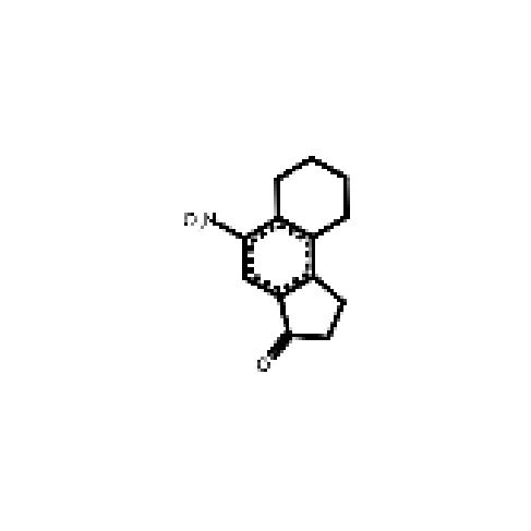 O=C1CCc2c1cc([N+](=O)[O-])c1c2CCCC1